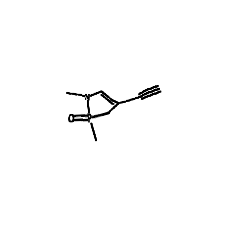 C#CC1=CN(C)P(C)(=O)C1